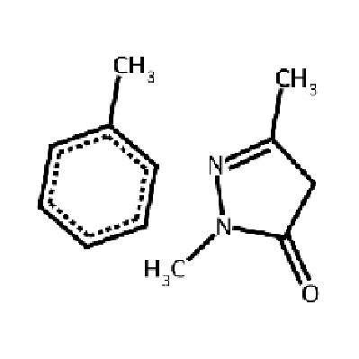 CC1=NN(C)C(=O)C1.Cc1ccccc1